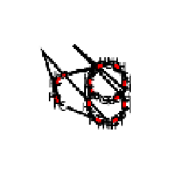 C1CC2CCC1CSSCC1CCC(CC1)C1C[C@H]3C[C@@H](C1)[C@H]1CC[C@H](CC1)CSSC[C@@H]1CC[C@@H](CC1)[C@H]1CC4CC(C1)[C@H]1CC[C@H](CC1)CSSC[C@@H]1CC[C@@H](CC1)[C@H]1CC2C[C@H](C1)[C@H]1CC[C@H](CC1)CSSC[C@@H]1CC[C@@H](CC1)C1CC(C[C@H](C1)[C@H]1CC[C@H](CC1)CSSC[C@@H]1CC[C@H]3CC1)[C@H]1CC[C@H](CC1)CSSC[C@@H]1CC[C@H]4CC1